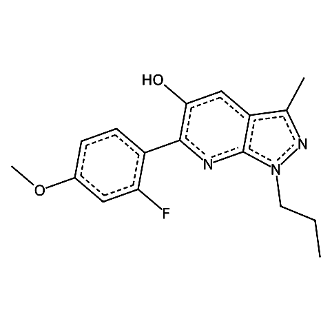 CCCn1nc(C)c2cc(O)c(-c3ccc(OC)cc3F)nc21